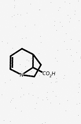 O=C(O)C1C2CC=CN1CC2